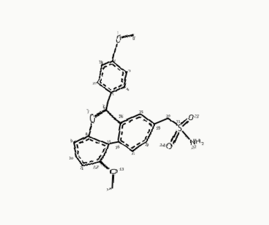 COc1ccc(C2Oc3cccc(OC)c3-c3ccc(CS(N)(=O)=O)cc32)cc1